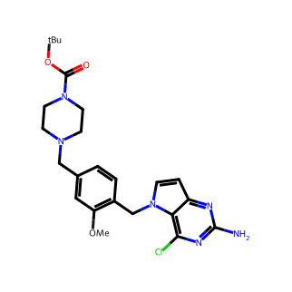 COc1cc(CN2CCN(C(=O)OC(C)(C)C)CC2)ccc1Cn1ccc2nc(N)nc(Cl)c21